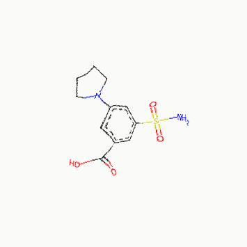 NS(=O)(=O)c1cc(C(=O)O)cc(N2CCCC2)c1